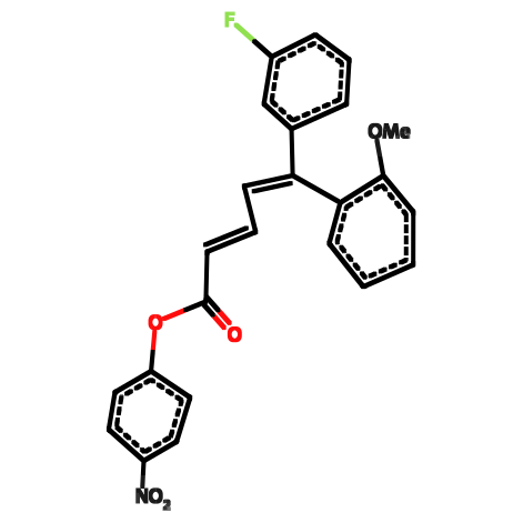 COc1ccccc1/C(=C\C=C\C(=O)Oc1ccc([N+](=O)[O-])cc1)c1cccc(F)c1